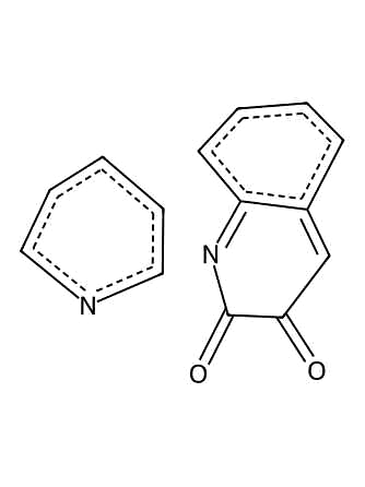 O=C1C=c2ccccc2=NC1=O.c1ccncc1